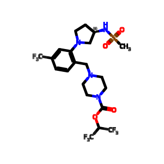 CS(=O)(=O)N[C@@H]1CCN(c2cc(C(F)(F)F)ccc2CN2CCN(C(=O)OC(C(F)(F)F)C(F)(F)F)CC2)C1